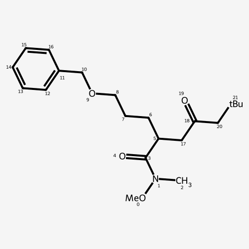 CON(C)C(=O)C(CCCOCc1ccccc1)CC(=O)CC(C)(C)C